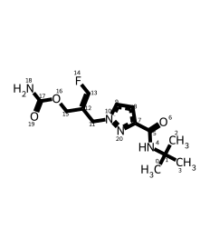 CC(C)(C)NC(=O)c1ccn(CC(=CF)COC(N)=O)n1